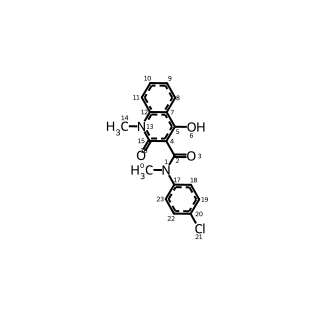 CN(C(=O)c1c(O)c2ccccc2n(C)c1=O)c1ccc(Cl)cc1